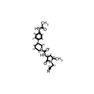 CC(=O)Nc1ccc([C@@H]2CCCN(C(=O)NC3CC(C)N(CC#N)C3=O)C2)cc1